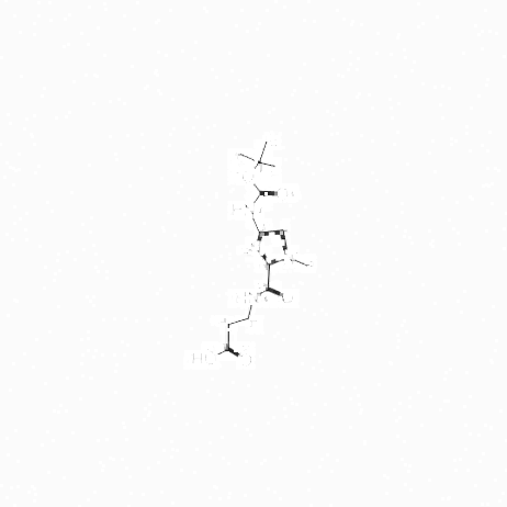 Cn1cc(NC(=O)OC(C)(C)C)nc1C(=O)NCCC(=O)O